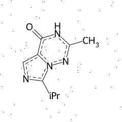 Cc1nn2c(C(C)C)ncc2c(=O)[nH]1